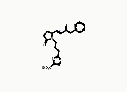 CCOC(=O)c1csc(CCCN2C(=O)CCC2/C=C/C(=O)Cc2ccccc2)n1